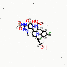 COc1ccc(-c2ccc(C#CC(C)(C)O)nc2C(Cc2cc(F)cc(F)c2)NC(=O)O)c2c1c(NS(C)(=O)=O)nn2C